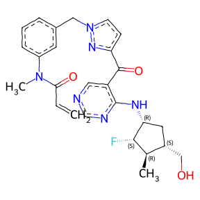 C=CC(=O)N(C)c1cccc(Cn2ccc(C(=O)c3cncnc3N[C@@H]3C[C@H](CO)[C@@H](C)[C@@H]3F)n2)c1